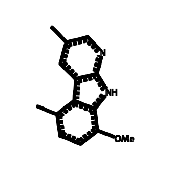 COc1ccc(C)c2c1[nH]c1ncc(C)cc12